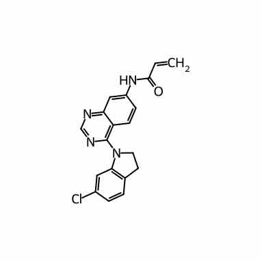 C=CC(=O)Nc1ccc2c(N3CCc4ccc(Cl)cc43)ncnc2c1